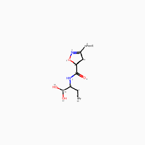 CCCCCC1=NOC(C(=O)NC(CC(C)C)B(O)O)C1